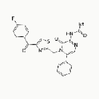 CCC(=O)Nc1ncc(-c2ccccc2)n(Cc2nc(C(=O)c3ccc(F)cc3)cs2)c1=O